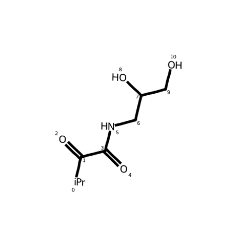 CC(C)C(=O)C(=O)NCC(O)CO